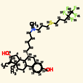 C=C1[C@H](O)CC2C3C(CC[C@]12C)c1ccc(O)cc1C[C@H]3CCCCCN(C)CCCSCCCC(F)(F)C(F)(F)F